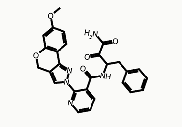 COc1ccc2c(c1)OCc1cn(-c3ncccc3C(=O)NC(Cc3ccccc3)C(=O)C(N)=O)nc1-2